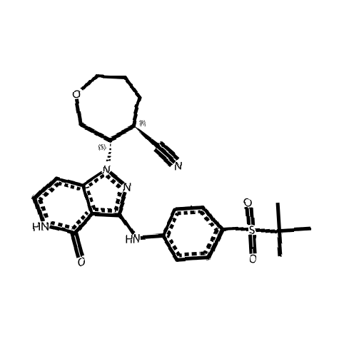 CC(C)(C)S(=O)(=O)c1ccc(Nc2nn([C@@H]3COCCC[C@H]3C#N)c3cc[nH]c(=O)c23)cc1